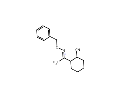 C/C(=N\OCc1ccccc1)C1CCCCC1C#N